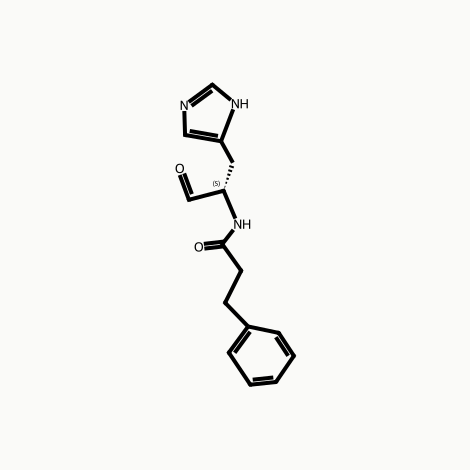 O=C[C@H](Cc1cnc[nH]1)NC(=O)CCc1ccccc1